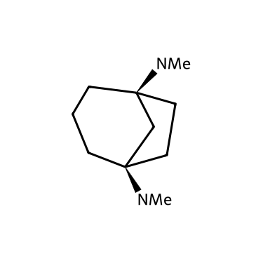 CN[C@@]12CCC[C@@](NC)(CC1)C2